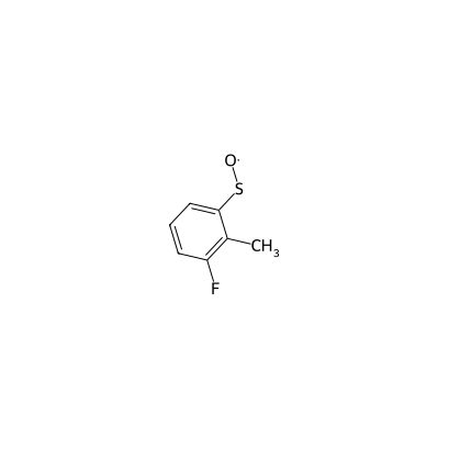 Cc1c(F)cccc1S[O]